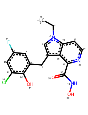 CCn1cc(Cc2cc(F)cc(Cl)c2O)c2c(C(=O)NO)nccc21